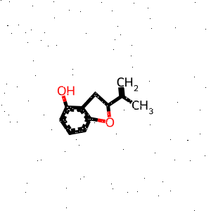 C=C(C)C1Cc2c(O)cccc2O1